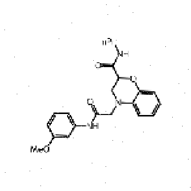 CCCNC(=O)C1CN(CC(=O)Nc2cccc(OC)c2)c2ccccc2O1